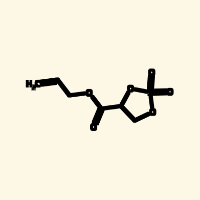 C=CCOC(=O)C1COS(=O)(=O)O1